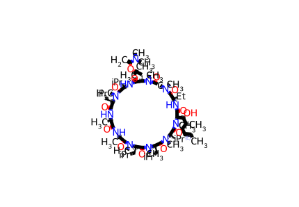 C=C(OC(C)(C)C[C@H]1C(=O)N[C@H](C(C)C)C(=O)N(C)[C@H](CC(C)C)C(=O)N[C@H](C)C(=O)N[C@@H](C)C(=O)N(C)[C@H](CC(C)C)C(=O)N(C)[C@H](CC(C)C)C(=O)N(C)[C@H](C(C)C)C(=O)N(C)C([C@H](O)[C@H](C)C/C=C/C)C(=O)N[C@H](CC)C(=O)N(C)CC(=O)N1C)N(C)C